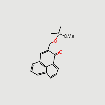 CO[Si](C)(C)OCC1=Cc2cccc3cccc(c23)C1=O